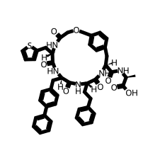 C[C@H](NC(=O)[C@@H]1Cc2ccc(cc2)OCC(=O)N[C@@H](Cc2cccs2)C(=O)N[C@H](Cc2ccc(-c3ccccc3)cc2)C(=O)N[C@@H](CCc2ccccc2)C(=O)N1)C(=O)O